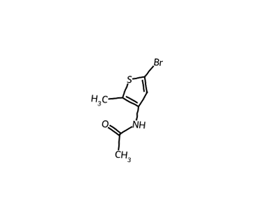 CC(=O)Nc1cc(Br)sc1C